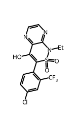 CCN1c2nccnc2C(O)=C(c2ccc(Cl)cc2C(F)(F)F)S1(=O)=O